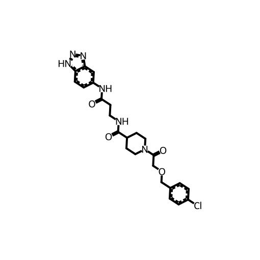 O=C(CCNC(=O)C1CCN(C(=O)COCc2ccc(Cl)cc2)CC1)Nc1ccc2[nH]nnc2c1